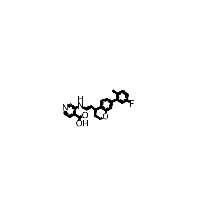 Cc1ccc(F)cc1-c1ccc2c(c1)OCCC2/C=C/Nc1cnccc1C(=O)O